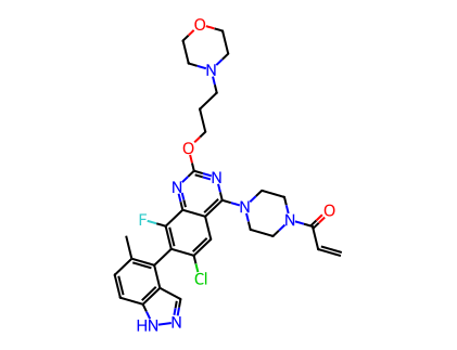 C=CC(=O)N1CCN(c2nc(OCCCN3CCOCC3)nc3c(F)c(-c4c(C)ccc5[nH]ncc45)c(Cl)cc23)CC1